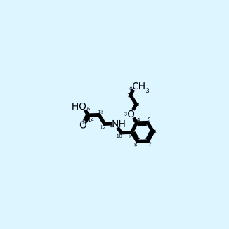 CCCOc1ccccc1CNCCC(=O)O